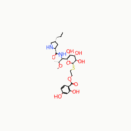 CCC[C@H]1CN[C@H](C(=O)N[C@@H]([C@H]2O[C@H](SCCOC(=O)c3ccc(O)cc3O)[C@H](O)[C@@H](O)[C@H]2O)[C@@H](C)OC)C1